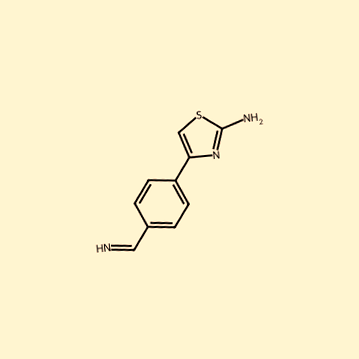 N=Cc1ccc(-c2csc(N)n2)cc1